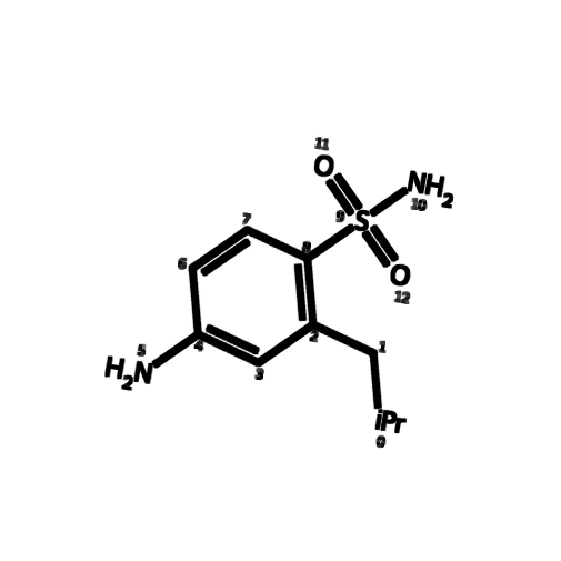 CC(C)Cc1cc(N)ccc1S(N)(=O)=O